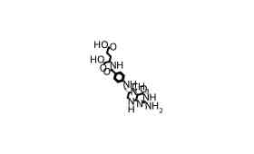 CN1C2C(=O)NC(N)=NC2NC[C@@H]1CNc1ccc(C(=O)NC(CCC(=O)O)C(=O)O)cc1